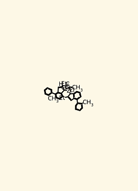 CCC1=Cc2c(-c3ccccc3C)cccc2[CH]1[Zr]([Cl])([Cl])([CH]1C(CC)=Cc2c(-c3ccccc3C)cccc21)=[Si](C)C